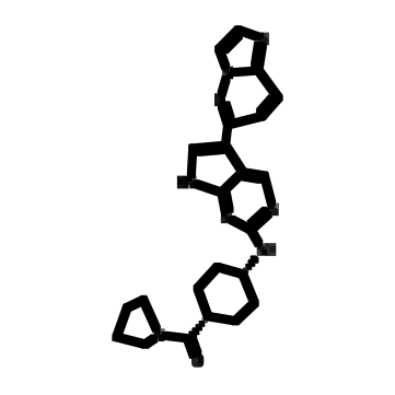 O=C([C@H]1CC[C@@H](Nc2ncc3c(-c4ccc5nccn5n4)c[nH]c3n2)CC1)N1CCCC1